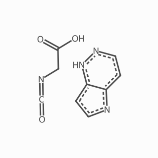 O=C=NCC(=O)O.c1cc2nccc-2[nH]n1